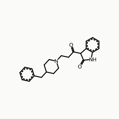 O=C(CCN1CCC(Cc2ccccc2)CC1)C1C(=O)Nc2ccccc21